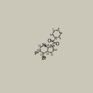 O=S(=O)(c1ccccc1)n1ccc2c(Br)c(F)cnc21